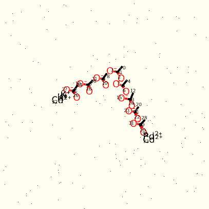 CC(=O)[O-].CC(=O)[O-].CC(=O)[O-].CC(=O)[O-].CC(=O)[O-].CC(=O)[O-].CC(=O)[O-].CC(=O)[O-].[Cd+2].[Cd+2].[K+].[K+].[Pd+2]